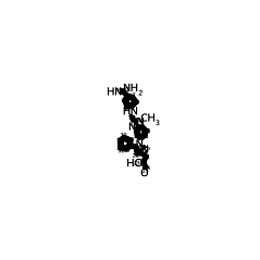 Cn1c(CNc2ccc(C(=N)N)cc2)nc2cc(-n3nc(CC(O)C=O)cc3-c3ccccc3)ccc21